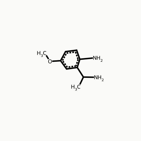 COc1ccc(N)c(C(C)N)c1